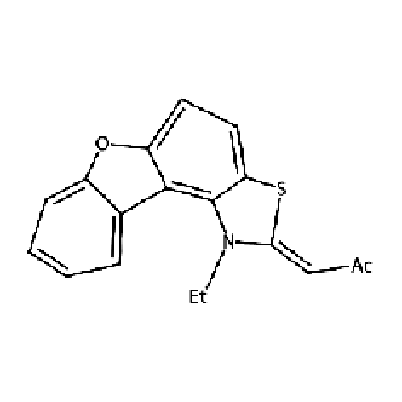 CCN1/C(=C/C(C)=O)Sc2ccc3oc4ccccc4c3c21